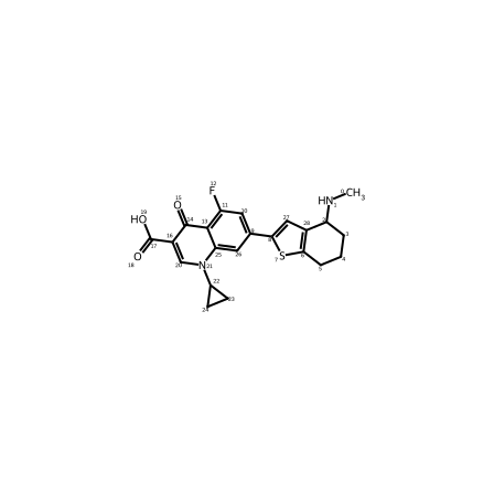 CNC1CCCc2sc(-c3cc(F)c4c(=O)c(C(=O)O)cn(C5CC5)c4c3)cc21